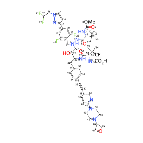 COC(=O)N[C@H](C(=O)NN(Cc1c(F)cc(-c2ccn(CC(F)F)n2)cc1F)C[C@H](O)[C@H](Cc1ccc(C#Cc2ccc(N3CCN(C4COC4)CC3)nc2)cc1)NC(=O)[C@@H](NC(=O)O)C(C)(C)C(F)(F)F)C(C)(C)C(F)(F)F